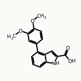 COc1ccc(-c2cccc3[nH]c(C(=O)O)cc23)cc1OC